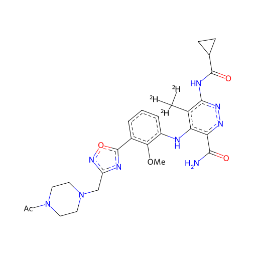 [2H]C([2H])([2H])c1c(NC(=O)C2CC2)nnc(C(N)=O)c1Nc1cccc(-c2nc(CN3CCN(C(C)=O)CC3)no2)c1OC